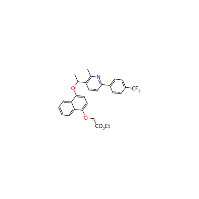 CCOC(=O)COc1ccc(OC(C)c2ccc(-c3ccc(C(F)(F)F)cc3)nc2C)c2ccccc12